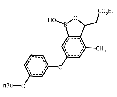 CCCCOc1cccc(Oc2cc(C)c3c(c2)B(O)OC3CC(=O)OCC)c1